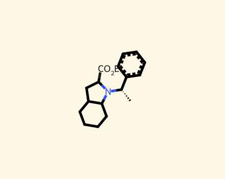 CCOC(=O)C1CC2CCCCC2N1[C@@H](C)c1ccccc1